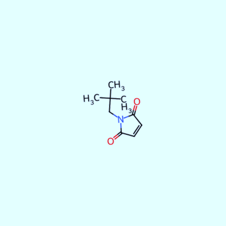 CC(C)(C)CN1C(=O)C=CC1=O